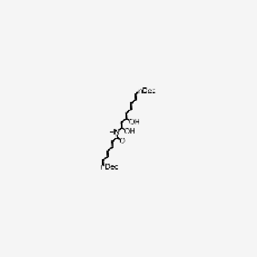 CCCCCCCCCCCCCCCC(=O)NC(O)CC(O)CCCCCCCCCCCCCCC